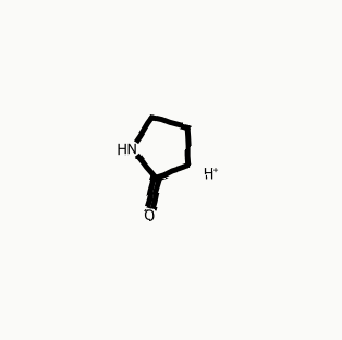 O=C1CCCN1.[H+]